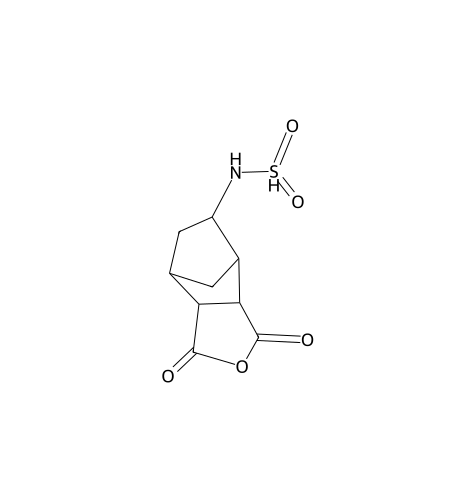 O=C1OC(=O)C2C3CC(CC3N[SH](=O)=O)C12